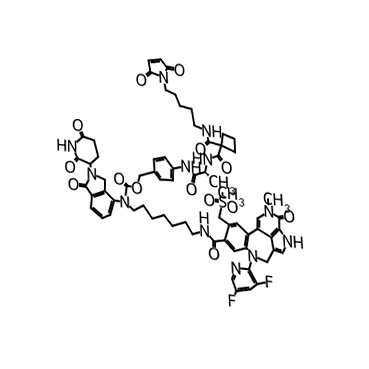 C[C@H](NC(=O)C1(C(=O)NCCCCCN2C(=O)C=CC2=O)CCC1)C(=O)Nc1ccc(COC(=O)N(CCCCCCCNC(=O)c2cc3c(cc2CS(C)(=O)=O)-c2cn(C)c(=O)c4[nH]cc(c24)CN3c2ncc(F)cc2F)c2cccc3c2CN(C2CCC(=O)NC2=O)C3=O)cc1